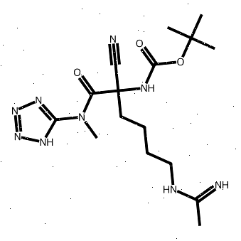 CC(=N)NCCCCC(C#N)(NC(=O)OC(C)(C)C)C(=O)N(C)c1nnn[nH]1